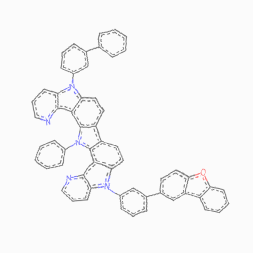 c1ccc(-c2cccc(-n3c4cccnc4c4c3ccc3c5ccc6c(c7ncccc7n6-c6cccc(-c7ccc8oc9ccccc9c8c7)c6)c5n(-c5ccccc5)c34)c2)cc1